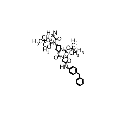 CC(C)(C)OC(=O)N1C[C@H](N(C(=O)CN)C(=O)OC(C)(C)C)C[C@H]1C(=O)NCC(=O)Nc1ccc(Cc2ccccc2)cc1